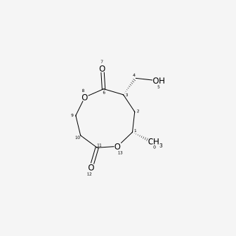 C[C@H]1C[C@@H](CO)C(=O)OCCC(=O)O1